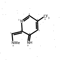 CN/C=C1/N=CC(C(F)(F)F)=CC1=N